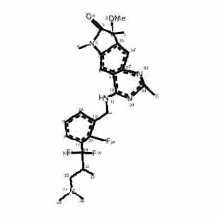 CO[C@]1(C)C(=O)N(C)c2cc3c(NCc4cccc(C(F)(F)C(C)CN(C)C)c4F)nc(C)nc3cc21